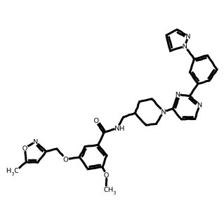 COc1cc(OCc2cc(C)on2)cc(C(=O)NCC2CCN(c3ccnc(-c4cccc(-n5cccn5)c4)n3)CC2)c1